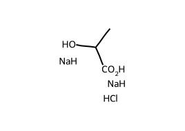 CC(O)C(=O)O.Cl.[NaH].[NaH]